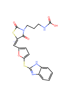 O=C(O)NCCCN1C(=O)S/C(=C/c2ccc(Sc3nc4ccccc4[nH]3)o2)C1=O